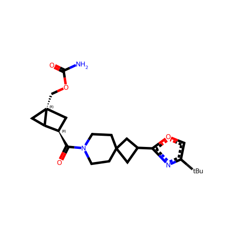 CC(C)(C)c1coc(C2CC3(CCN(C(=O)[C@@H]4C[C@]5(COC(N)=O)CC45)CC3)C2)n1